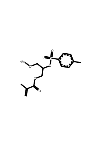 C=C(C)C(=O)OCC(COCCCC)OS(=O)(=O)c1ccc(C)cc1